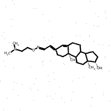 CN(C)CCO/N=C/C=C1/C=C2CCC3C(CC[C@@]4(C)C3CC[C@@H]4O)[C@@]2(C)CC1